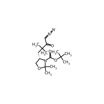 CC(C)(C)OC(=O)N1[C@@H](CC(C)(C)C(=O)C=[N+]=[N-])COC1(C)C